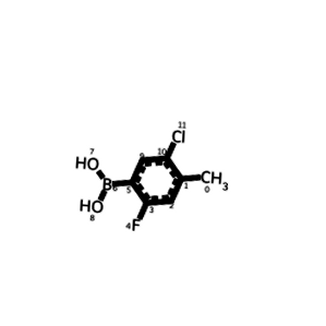 Cc1cc(F)c(B(O)O)cc1Cl